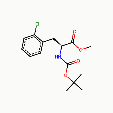 COC(=O)[C@H](Cc1ccccc1Cl)NC(=O)OC(C)(C)C